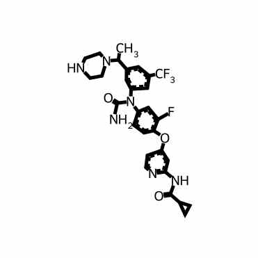 CC(c1cc(N(C(N)=O)c2ccc(Oc3ccnc(NC(=O)C4CC4)c3)c(F)c2)cc(C(F)(F)F)c1)N1CCNCC1